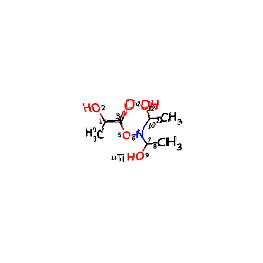 CC(O)C(=O)ON(C(C)O)C(C)O.[Ti]